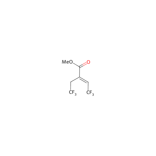 COC(=O)C(=CC(F)(F)F)CC(F)(F)F